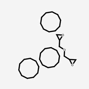 C(OCC1CO1)C1CO1.C1CCCCCCCCC1.C1CCCCCCCCC1.C1CCCCCCCCC1